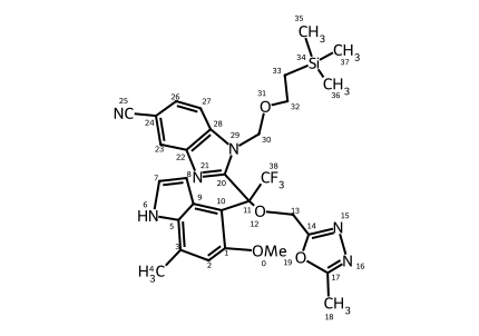 COc1cc(C)c2[nH]ccc2c1C(OCc1nnc(C)o1)(c1nc2cc(C#N)ccc2n1COCC[Si](C)(C)C)C(F)(F)F